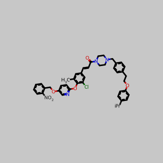 Cc1cc(C=CC(=O)N2CCN(Cc3ccc(CCOc4ccc(C(C)C)cc4)cc3)CC2)cc(Cl)c1Oc1ccc(OCc2ccccc2[N+](=O)[O-])cn1